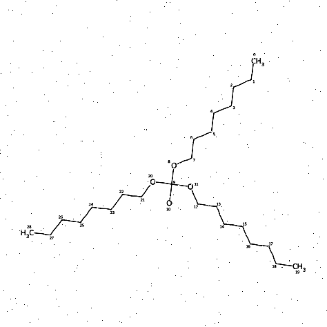 CCCCCCCCOC([O])(OCCCCCCCC)OCCCCCCCC